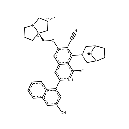 N#Cc1c(OC[C@@]23CCCN2C[C@H](F)C3)nc2cc(-c3cc(O)cc4ccccc34)[nH]c(=O)c2c1N1CC2CCC(C1)N2